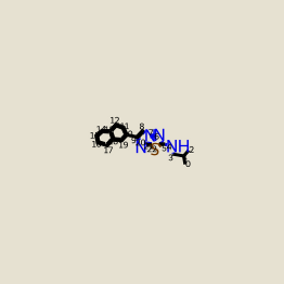 CC(C)CNc1nn2cc(-c3ccc4ccccc4c3)nc2s1